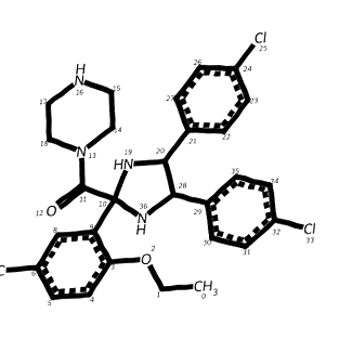 CCOc1ccc(C)cc1C1(C(=O)N2CCNCC2)NC(c2ccc(Cl)cc2)C(c2ccc(Cl)cc2)N1